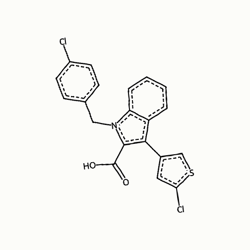 O=C(O)c1c(-c2csc(Cl)c2)c2ccccc2n1Cc1ccc(Cl)cc1